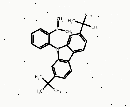 CN(C)c1ccccc1-n1c2cc(C(C)(C)C)ccc2c2ccc(C(C)(C)C)cc21